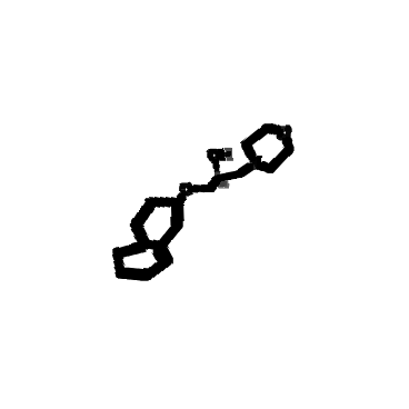 O[C@@H](COc1ccc2ccccc2c1)CN1CCOCC1